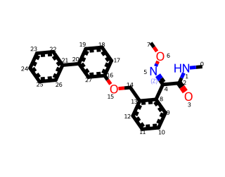 CNC(=O)/C(=N\OC)c1ccccc1COc1cccc(-c2ccccc2)c1